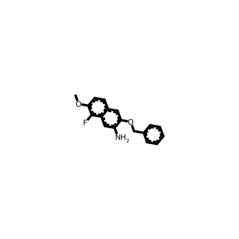 COc1ccc2cc(OCc3ccccc3)c(N)cc2c1F